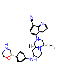 C[C@@H]1CN(c2ccc(C#N)c3ncccc23)C[C@@H]2C[C@H](Nc3ccc([C@H]4CNCCO4)cc3)CCN21